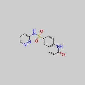 O=c1ccc2cc(S(=O)(=O)Nc3cccnn3)ccc2[nH]1